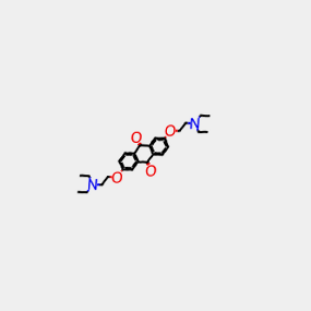 CCN(CC)CCOc1ccc2c(c1)C(=O)c1ccc(OCCN(CC)CC)cc1C2=O